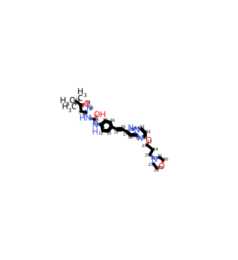 CC(C)(C)C1CC(NC(O)Nc2ccc(C#Cc3cc4nc(OCCCN5CCOCC5)ccn4n3)cc2)=NO1